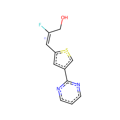 OC/C(F)=C\c1cc(-c2ncccn2)cs1